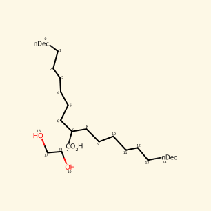 CCCCCCCCCCCCCCCCC(CCCCCCCCCCCCCCCC)C(=O)O.OCCO